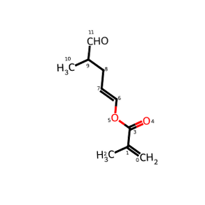 C=C(C)C(=O)OC=CCC(C)C=O